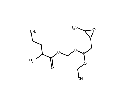 CCCC(C)C(=O)OCOP(CC1OC1C)OCO